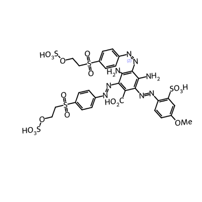 COc1ccc(N=Nc2c(N)c(/N=N\c3ccc(S(=O)(=O)CCOS(=O)(=O)O)cc3)c(N)c(N=Nc3ccc(S(=O)(=O)CCOS(=O)(=O)O)cc3)c2C(=O)O)c(S(=O)(=O)O)c1